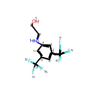 OCCNc1cc(C(F)(F)F)cc(C(F)(F)F)c1